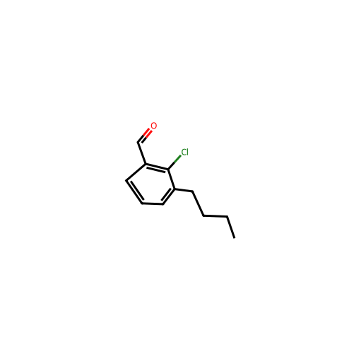 CCCCc1cccc(C=O)c1Cl